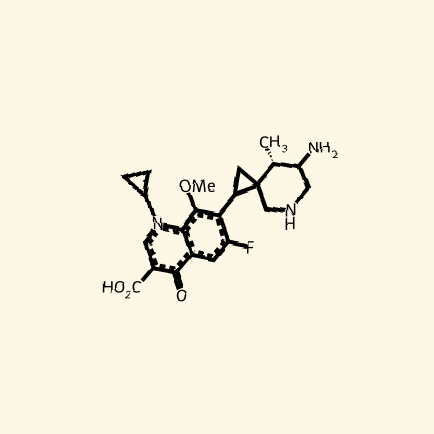 COc1c(C2CC23CNCC(N)[C@H]3C)c(F)cc2c(=O)c(C(=O)O)cn(C3CC3)c12